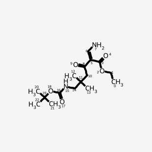 CCOC(=O)/C(=C\N)C(=O)CC(C)(C)CNC(=O)OC(C)(C)C